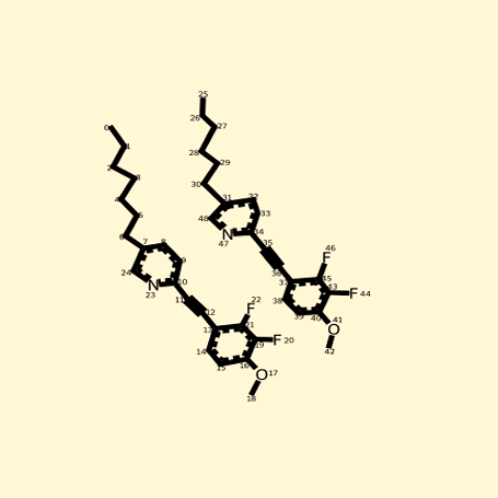 CCCCCCCc1ccc(C#Cc2ccc(OC)c(F)c2F)nc1.CCCCCCc1ccc(C#Cc2ccc(OC)c(F)c2F)nc1